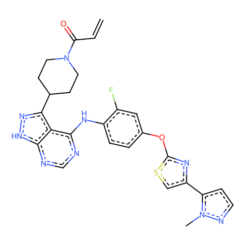 C=CC(=O)N1CCC(c2n[nH]c3ncnc(Nc4ccc(Oc5nc(-c6ccnn6C)cs5)cc4F)c23)CC1